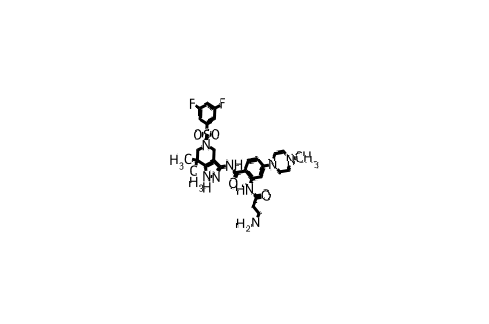 CN1CCN(c2ccc(C(=O)Nc3n[nH]c4c3CN(S(=O)(=O)c3cc(F)cc(F)c3)CC4(C)C)c(NC(=O)CCN)c2)CC1